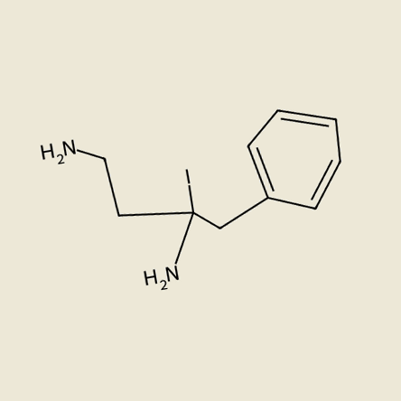 NCCC(N)(I)Cc1ccccc1